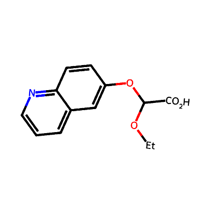 CCOC(Oc1ccc2ncccc2c1)C(=O)O